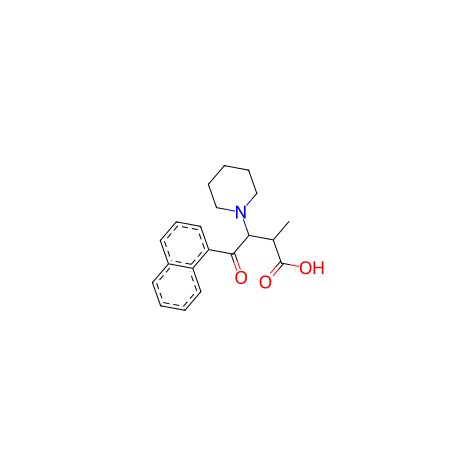 CC(C(=O)O)C(C(=O)c1cccc2ccccc12)N1CCCCC1